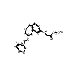 CC(C)(C)OC(=O)COc1ccc2c(c1)CC(NCc1ccccc1)CCC2